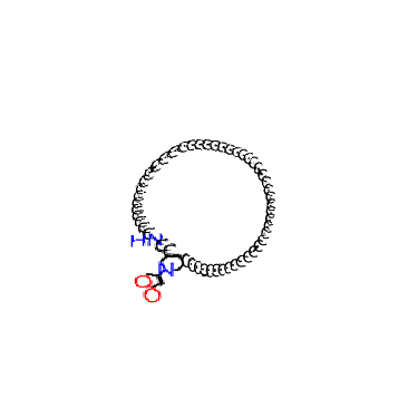 O=C1C=C(N2CCC3(CCCCCCCCCCCCCCCCCCCCCCCCCCCCCCCCCCCCCCCCCCCCCCCCNCC3)CC2)CO1